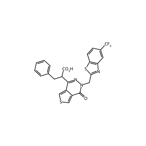 O=C(O)C(Cc1ccccc1)c1nn(Cc2nc3cc(C(F)(F)F)ccc3s2)c(=O)c2cscc12